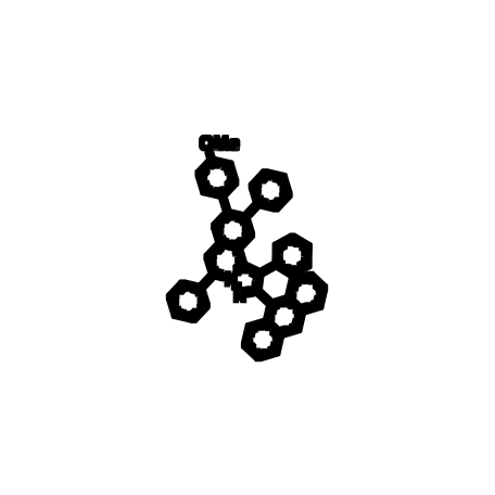 COc1ccc(-c2cc3cc(-c4ccccc4)n4nc(-c5c6ccccc6cc6ccccc56)c(-c5ccccc5)c4c3cc2-c2ccccc2)cc1